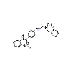 CN(C/C=C/c1ccc(C(=O)Nc2ccccc2N)cc1)Cc1ccccc1